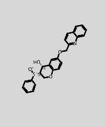 [O-][S+](c1ccccc1)[C@H]1COc2ccc(OCc3ccc4ccccc4n3)cc2[C@H]1O